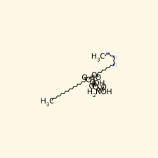 CC/C=C\C/C=C\C/C=C\CCCCCCCC(=O)O[C@H](COC(=O)CCCCCCCCCCCCCCCCC)COP(=O)(O)OC[C@H](N)C(=O)O